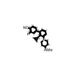 CNC1CCN(c2cccc(-c3ccc(C#N)c(F)c3)c2C2CC2)CC1